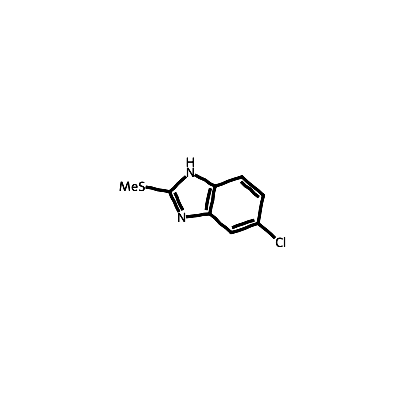 [CH2]Sc1nc2cc(Cl)ccc2[nH]1